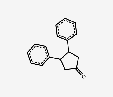 O=C1CC(c2ccccc2)C(c2ccccc2)C1